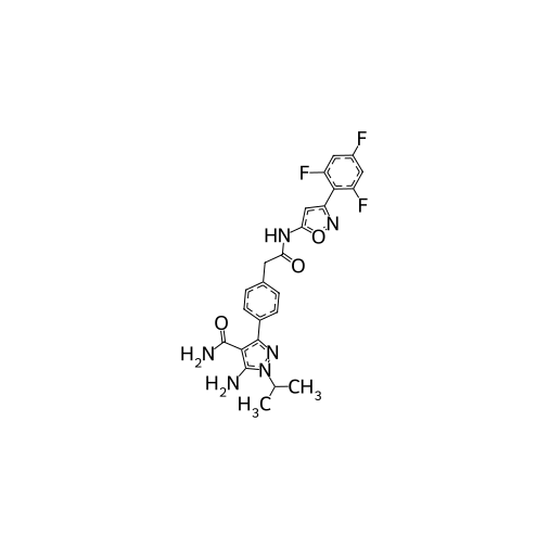 CC(C)n1nc(-c2ccc(CC(=O)Nc3cc(-c4c(F)cc(F)cc4F)no3)cc2)c(C(N)=O)c1N